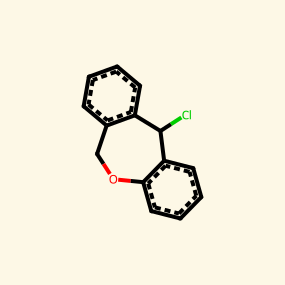 ClC1c2ccccc2COc2ccccc21